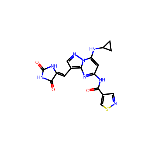 O=C1NC(=O)/C(=C/c2cnn3c(NC4CC4)cc(NC(=O)c4cnsc4)nc23)N1